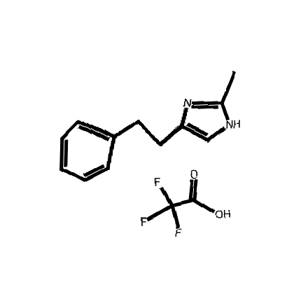 Cc1nc(CCc2ccccc2)c[nH]1.O=C(O)C(F)(F)F